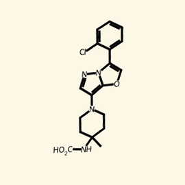 CC1(NC(=O)O)CCN(c2cnn3c(-c4ccccc4Cl)coc23)CC1